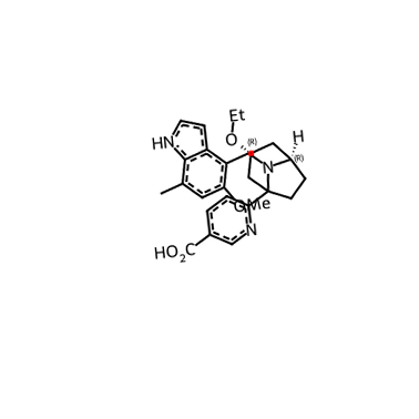 CCO[C@@H]1C[C@H]2CCC(c3ccc(C(=O)O)cn3)(C1)N2Cc1c(OC)cc(C)c2[nH]ccc12